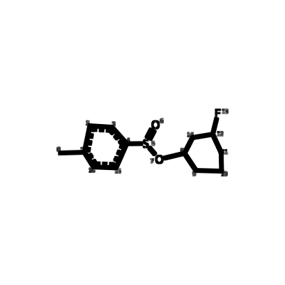 Cc1ccc(S(=O)OC2CCCC(F)C2)cc1